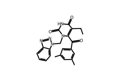 CCc1c(C(=O)c2cc(C)cc(C)c2)n(Cn2nnc3ccccc32)c(=O)[nH]c1=O